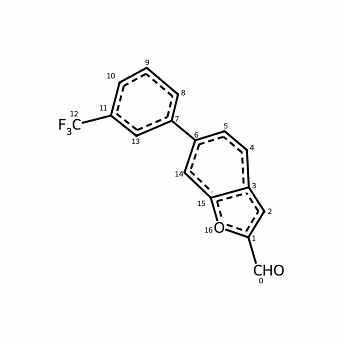 O=Cc1cc2ccc(-c3cccc(C(F)(F)F)c3)cc2o1